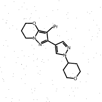 CC(C)c1c(-c2cnn(C3CCOCC3)c2)nn2c1OCCC2